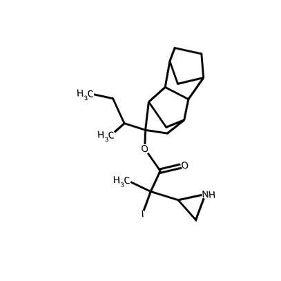 CCC(C)C1(OC(=O)C(C)(I)C2CN2)CC2CC1C1C3CCC(C3)C21